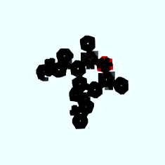 CC1(C)c2ccccc2-c2ccc3c(c21)c1ccccc1n3-c1cc(-c2cccc(-c3cc(-c4nc(-c5ccccc5)nc(-c5ccccc5)n4)ccc3-n3c4ccccc4c4c5c(ccc43)-c3ccccc3C5(C)C)c2)cc(-c2nc(-c3ccccc3)nc(-c3ccccc3)n2)c1